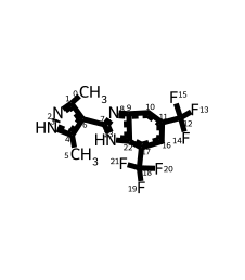 Cc1n[nH]c(C)c1-c1nc2cc(C(F)(F)F)cc(C(F)(F)F)c2[nH]1